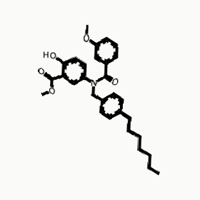 CCCCCCCc1ccc(CN(C(=O)c2cccc(OC)c2)c2ccc(O)c(C(=O)OC)c2)cc1